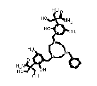 Cc1cc(CN2CCN(Cc3ccccc3)CCN(Cc3cc(C)cc(C(CO)(CO)C(N)=O)c3O)CC2)c(O)c(C(CO)(CO)C(N)=O)c1